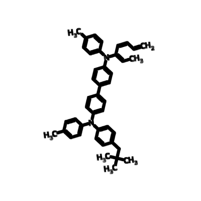 C=C/C=C\C(=C/C)N(c1ccc(C)cc1)c1ccc(-c2ccc(N(c3ccc(C)cc3)c3ccc(CC(C)(C)C)cc3)cc2)cc1